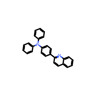 c1ccc(N(c2ccccc2)c2ccc(-c3ccc4ccccc4n3)cc2)cc1